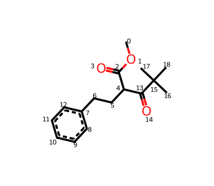 COC(=O)C(CCc1ccccc1)C(=O)C(C)(C)C